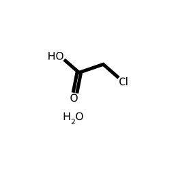 O.O=C(O)CCl